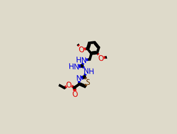 CCOC(=O)c1csc(NC(=N)NCc2c(OC)cccc2OC)n1